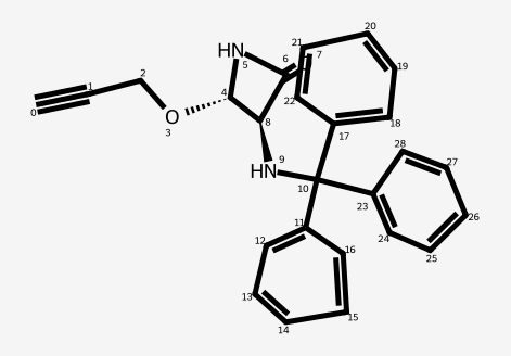 C#CCO[C@@H]1NC(=O)[C@H]1NC(c1ccccc1)(c1ccccc1)c1ccccc1